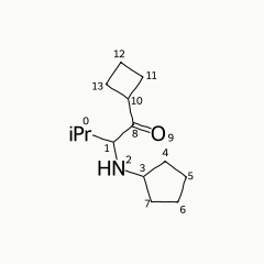 CC(C)C(NC1CCCC1)C(=O)C1CCC1